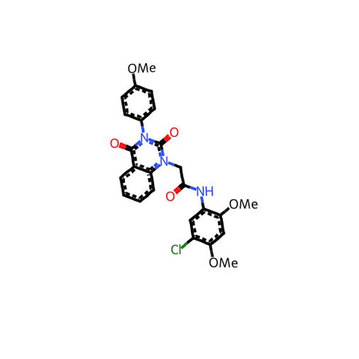 COc1ccc(-n2c(=O)c3ccccc3n(CC(=O)Nc3cc(Cl)c(OC)cc3OC)c2=O)cc1